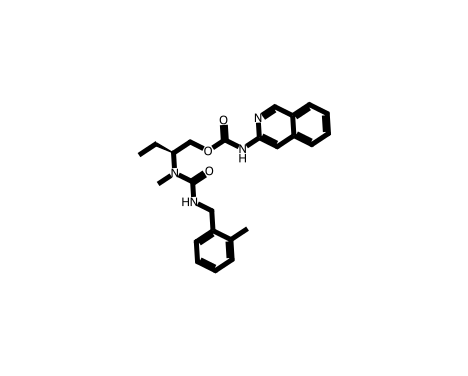 CC[C@@H](COC(=O)Nc1cc2ccccc2cn1)N(C)C(=O)NCc1ccccc1C